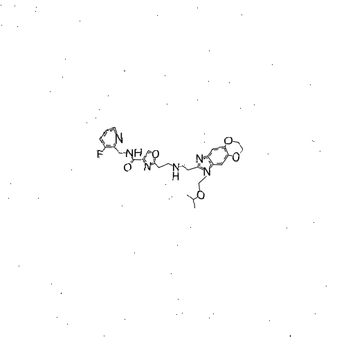 CC(C)OCCn1c(CCNCCc2nc(C(=O)NCc3ncccc3F)co2)nc2cc3c(cc21)OCCO3